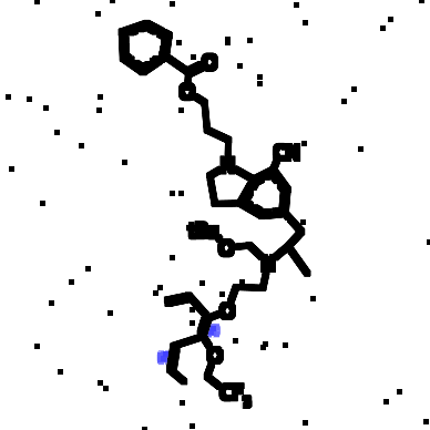 C=C/C(OCCN(COC(C)(C)C)C(C)Cc1cc(C#N)c2c(c1)CCN2CCCOC(=O)c1ccccc1)=C(\C=C/C)OCC(F)(F)F